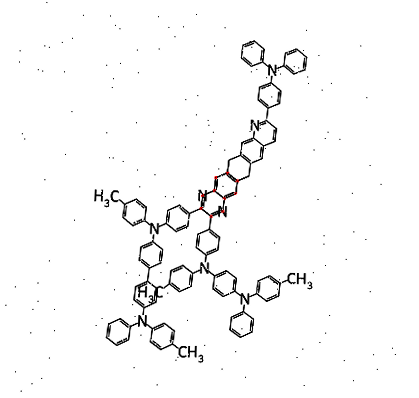 Cc1ccc(N(c2ccccc2)c2ccc(-c3ccc(N(c4ccc(C)cc4)c4ccc(-c5ccc6cc7c(cc6n5)C5c6cc8ccc(-c9ccc(N(c%10ccc(C)cc%10)c%10ccc(N(c%11ccccc%11)c%11ccc(C)cc%11)cc%10)cc9)nc8cc6C7c6cc7ccc(-c8ccc(N(c9ccccc9)c9ccccc9)cc8)nc7cc65)cc4)cc3)cc2)cc1